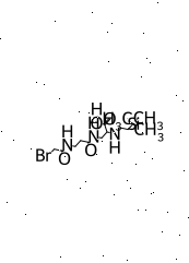 C[Si](C)(C)CCNC(CNC(=O)CCNC(=O)CBr)C(=O)O